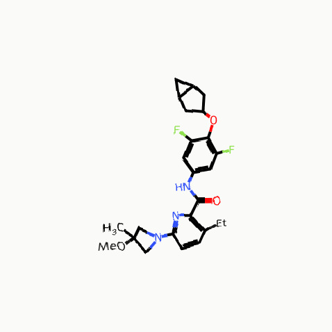 CCc1ccc(N2CC(C)(OC)C2)nc1C(=O)Nc1cc(F)c(OC2CC3CC3C2)c(F)c1